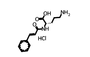 Cl.NCCC[C@H](NC(=O)/C=C/c1ccccc1)C(=O)O